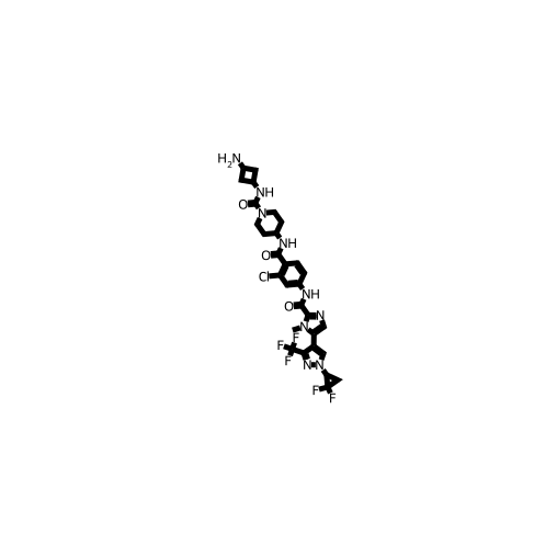 Cn1c(-c2cn(C3CC3(F)F)nc2C(F)(F)F)cnc1C(=O)Nc1ccc(C(=O)NC2CCN(C(=O)NC3CC(N)C3)CC2)c(Cl)c1